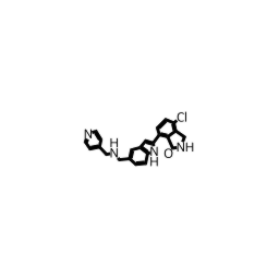 O=C1NCc2c(Cl)ccc(-c3cc4cc(CNCc5ccncc5)ccc4[nH]3)c21